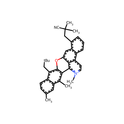 Cc1ccc2c(CC(C)(C)C)c3c(c(C)c2c1)-c1c2c(cc4c(CC(C)(C)C#N)cccc4c2cc[n+]1C)O3